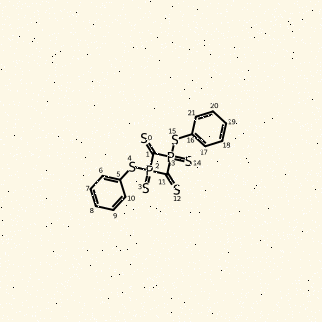 S=C1P(=S)(Sc2ccccc2)C(=S)P1(=S)Sc1ccccc1